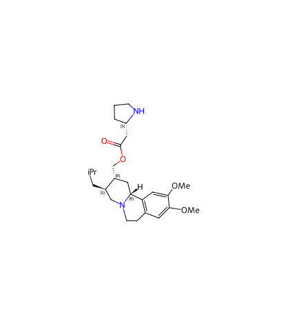 COc1cc2c(cc1OC)[C@H]1C[C@@H](COC(=O)C[C@@H]3CCCN3)[C@H](CC(C)C)CN1CC2